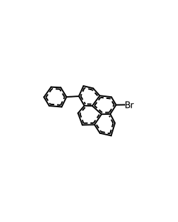 Brc1cc2ccc(-c3ccccc3)c3ccc4cccc1c4c23